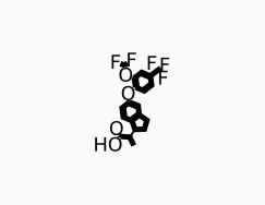 CC(C(=O)O)[C@@H]1CCc2cc(Oc3ccc(C(F)(F)F)cc3OC(F)F)ccc21